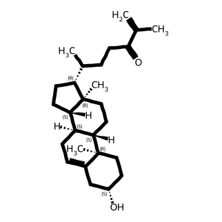 C=C(C)C(=O)CCC(C)[C@H]1CC[C@H]2[C@@H]3CC=C4C[C@@H](O)CC[C@]4(C)[C@H]3CC[C@]12C